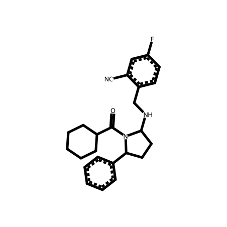 N#Cc1cc(F)ccc1CNC1CCC(c2ccccc2)N1C(=O)C1CCCCC1